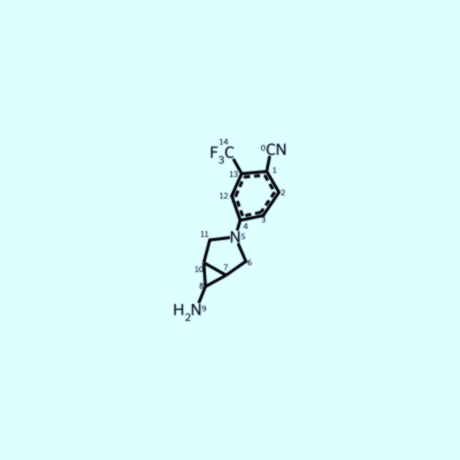 N#Cc1ccc(N2CC3C(N)C3C2)cc1C(F)(F)F